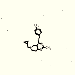 Cc1nc2c(c(OCc3ccc(C(F)(F)F)cc3)n1)CN(CC1CC1)CC2